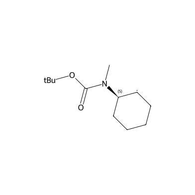 CN(C(=O)OC(C)(C)C)[C@H]1[CH]CCCC1